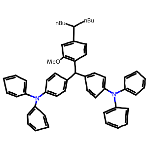 CCCCC(CCCC)c1ccc(C(c2ccc(N(c3ccccc3)c3ccccc3)cc2)c2ccc(N(c3ccccc3)c3ccccc3)cc2)c(OC)c1